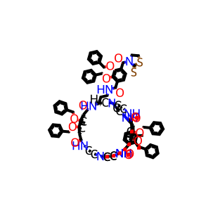 Cc1c2ccc(c1C)C(=O)NCCN1CCNC(=O)c3ccc(c(OCc4ccccc4)c3OCc3ccccc3)C(=O)NCCN(CCNC2=O)CCNC(=O)c2ccc(c(OCc3ccccc3)c2OCc2ccccc2)C(=O)N[C@@H](CCNC(=O)c2ccc(C(=O)N3CCSC3=S)c(OCc3ccccc3)c2OCc2ccccc2)C1